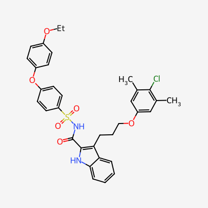 CCOc1ccc(Oc2ccc(S(=O)(=O)NC(=O)c3[nH]c4ccccc4c3CCCOc3cc(C)c(Cl)c(C)c3)cc2)cc1